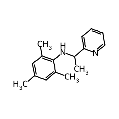 Cc1cc(C)c(NC(C)c2ccccn2)c(C)c1